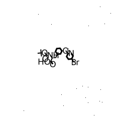 CC(C)(C)OC(=O)N[C@@H](Cc1cccc(Oc2ccc(Br)cn2)c1)C(=O)O